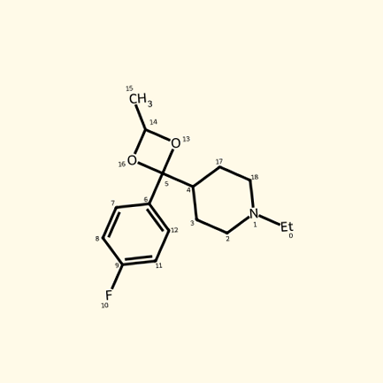 CCN1CCC(C2(c3ccc(F)cc3)OC(C)O2)CC1